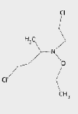 CCON(CCCl)C(C)CCCl